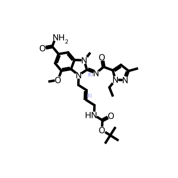 CCn1nc(C)cc1C(=O)/N=c1\n(C)c2cc(C(N)=O)cc(OC)c2n1C/C=C/CNC(=O)OC(C)(C)C